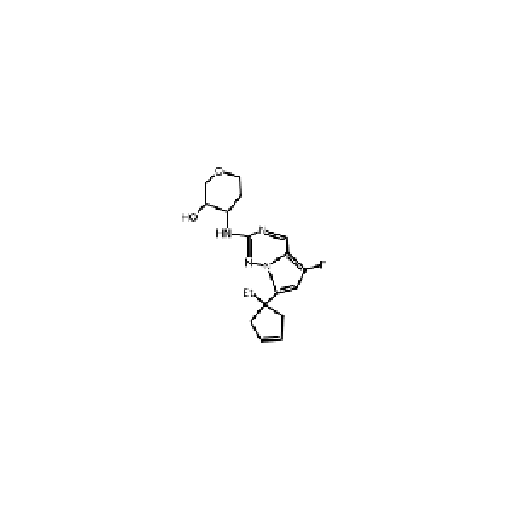 CCC1(c2cc(F)c3cnc(NC4CCOCC4O)nn23)CC=CC1